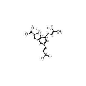 C=C(C)C1Cc2cc(C=CC(=O)O)cc(CC=C(C)C)c2O1